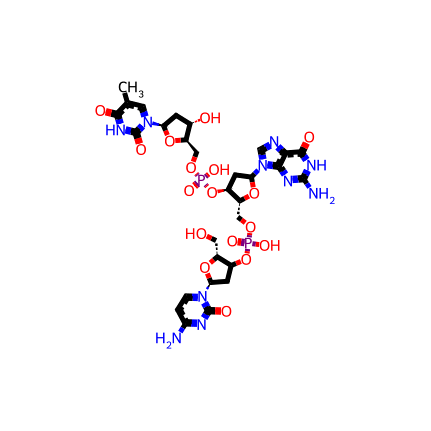 Cc1cn([C@H]2C[C@H](O)[C@@H](COP(=O)(O)O[C@H]3CC(n4cnc5c(=O)[nH]c(N)nc54)O[C@@H]3COP(=O)(O)OC3C[C@H](n4ccc(N)nc4=O)O[C@@H]3CO)O2)c(=O)[nH]c1=O